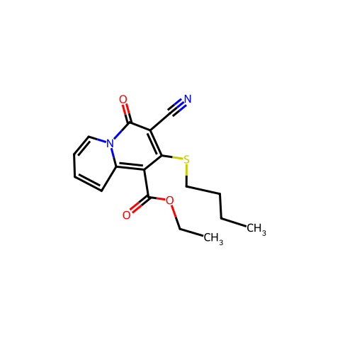 CCCCSc1c(C#N)c(=O)n2ccccc2c1C(=O)OCC